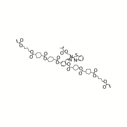 C=CC(=O)OCCCCOC(=O)C1CCC(C(=O)OC2CCC(C(=O)Oc3ccc(OC(=O)C4CCC(OC(=O)C5CCC(C(=O)OCCCCOC(=O)C=C)CC5)CC4)c(/C=N/N(CCOC(=O)C(=C)C)c4nc5ccccc5s4)c3)CC2)CC1